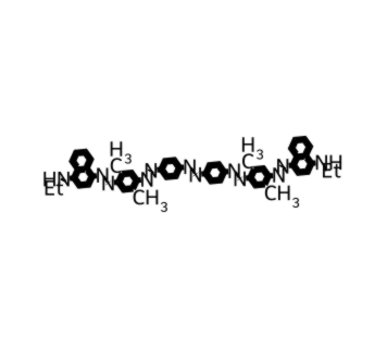 CCNc1ccc(N=Nc2cc(C)c(N=Nc3ccc(N=Nc4ccc(N=Nc5cc(C)c(N=Nc6ccc(NCC)c7ccccc67)cc5C)cc4)cc3)cc2C)c2ccccc12